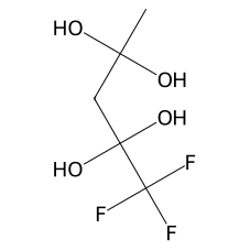 CC(O)(O)CC(O)(O)C(F)(F)F